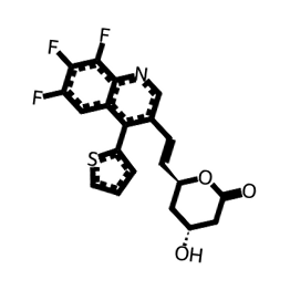 O=C1C[C@H](O)C[C@@H](C=Cc2cnc3c(F)c(F)c(F)cc3c2-c2cccs2)O1